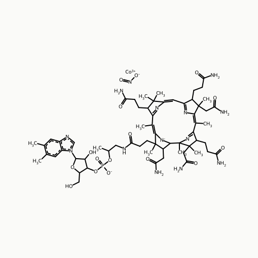 C/C1=C2N=C(/C=C3N=C(/C(C)=C4\[N-]C(C(CC(N)=O)C4(C)CCC(=O)NCC(C)OP(=O)([O-])OC4C(CO)OC(n5cnc6cc(C)c(C)cc65)C4O)C4(C)N=C1C(CCC(N)=O)C4(C)CC(N)=O)C(CCC(N)=O)C\3(C)C)C(CCC(N)=O)C/2(C)CC(N)=O.O=N[O-].[Co+3]